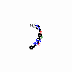 CN1CCN(CCOc2ccc(-c3cnc(C(=O)NCCCC4CCCC4)nc3)c(F)c2)CC1